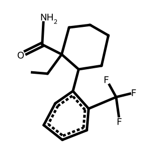 CCC1(C(N)=O)CCCCC1c1ccccc1C(F)(F)F